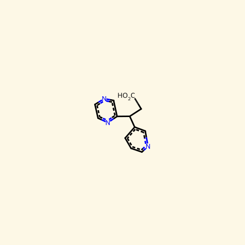 O=C(O)CC(c1cccnc1)c1cnccn1